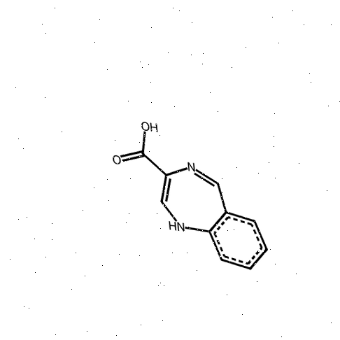 O=C(O)C1=CNc2ccccc2C=N1